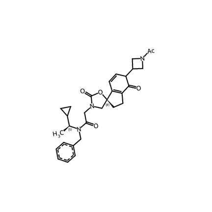 CC(=O)N1CC(C2C=CC3=C(CC[C@]34CN(CC(=O)N(Cc3ccccc3)[C@@H](C)C3CC3)C(=O)O4)C2=O)C1